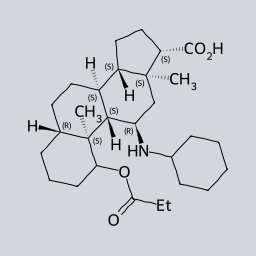 CCC(=O)OC1CCC[C@@H]2CC[C@@H]3[C@H]([C@H](NC4CCCCC4)C[C@]4(C)[C@@H](C(=O)O)CC[C@@H]34)[C@@]12C